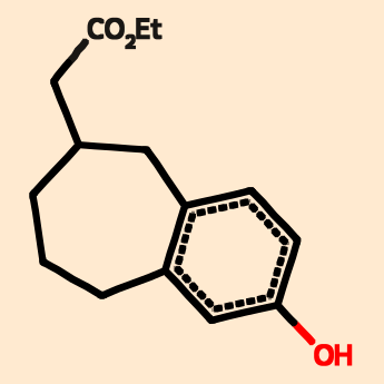 CCOC(=O)CC1CCCc2cc(O)ccc2C1